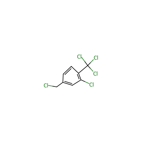 ClCc1ccc(C(Cl)(Cl)Cl)c(Cl)c1